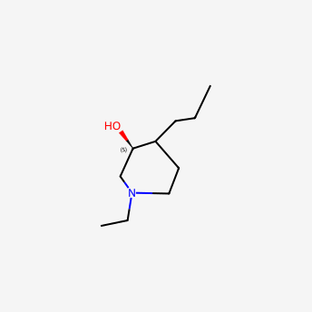 CCCC1CCN(CC)C[C@H]1O